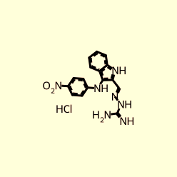 Cl.N=C(N)NN=Cc1[nH]c2ccccc2c1Nc1ccc([N+](=O)[O-])cc1